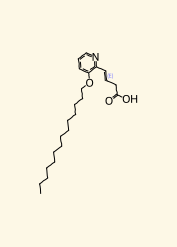 CCCCCCCCCCCCCCOc1cccnc1/C=C/CC(=O)O